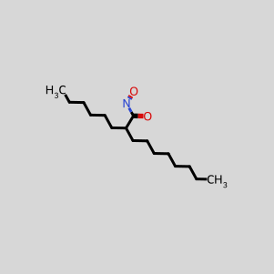 CCCCCCCCC(CCCCCC)C(=O)N=O